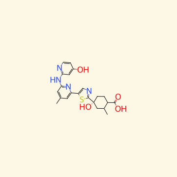 Cc1cc(Nc2cc(O)ccn2)nc(-c2cnc([C@@]3(O)CCC(C(=O)O)C(C)C3)s2)c1